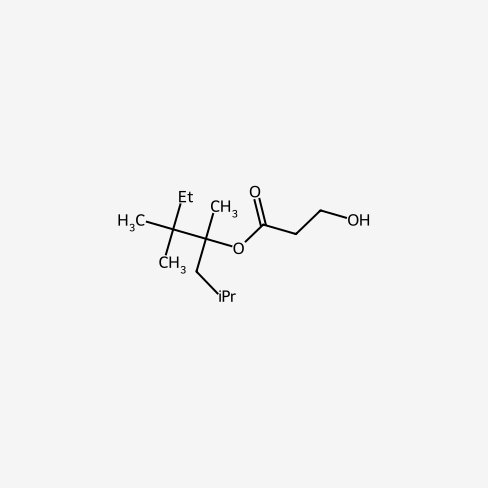 CCC(C)(C)C(C)(CC(C)C)OC(=O)CCO